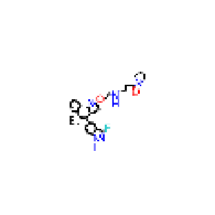 CC/C(=C(/c1ccc(OCCNC/C=C/C(=O)N2CCCC2)nc1)c1ccc2[nH]nc(F)c2c1)c1ccccc1